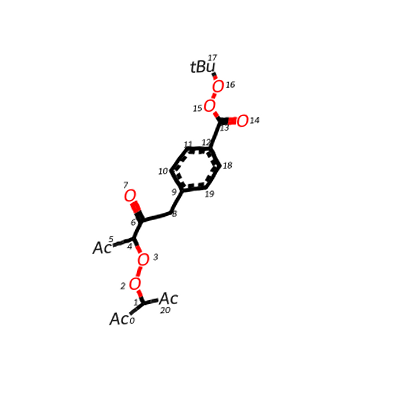 CC(=O)C(OOC(C(C)=O)C(=O)Cc1ccc(C(=O)OOC(C)(C)C)cc1)C(C)=O